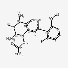 CCOc1cccc(F)c1-c1ccc2c(n1)N(OC(=O)C(F)(F)F)C(N)N(C)C2N